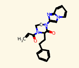 C=CC(=O)N1CCN(c2cn3ccccc3n2)C(=O)C1CCc1ccccc1